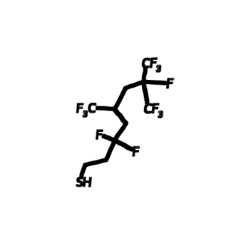 FC(F)(CCS)CC(CC(F)(C(F)(F)F)C(F)(F)F)C(F)(F)F